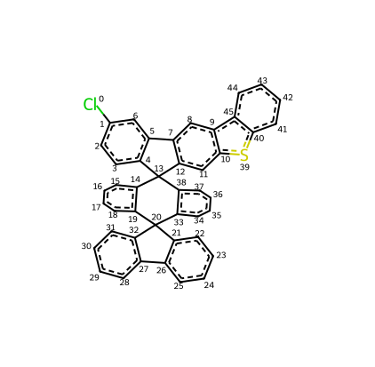 Clc1ccc2c(c1)-c1cc3c(cc1C21c2ccccc2C2(c4ccccc4-c4ccccc42)c2ccccc21)sc1ccccc13